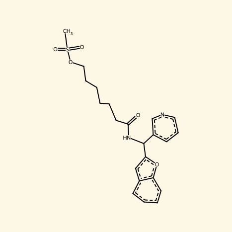 CS(=O)(=O)OCCCCCCC(=O)NC(c1cccnc1)c1cc2ccccc2o1